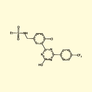 CCS(=O)(=O)NCc1ccc(Cl)c(-c2nc(O)nc(-c3ccc(C(F)(F)F)cc3)n2)c1